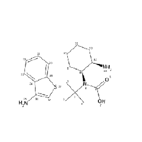 CC(C)(C)N(C(=O)O)[C@H]1CCCC[C@H]1N.Nc1csc2ccccc12